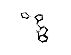 c1ccc2c(c1)CN=C(SC1CCC[C@H]1N1CCCC1)N2